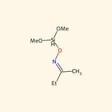 CCC(C)=NO[SiH](OC)OC